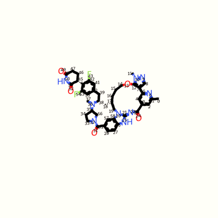 Cc1cc2cc(n1)-c1cnn(C)c1OCCC[C@@H](C)CN1/C(=N/C2=O)Nc2ccc(C(=O)N3CCC(N(C)CCc4cc(F)c([C@H]5CCC(=O)NC5=O)c(F)c4)C3)cc21